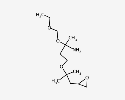 CCOCOC(C)(N)CCOC(C)(C)CC1CO1